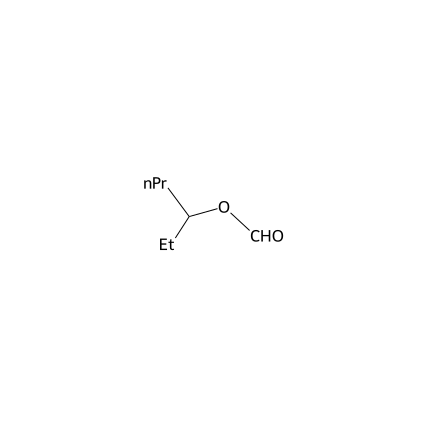 CCCC(CC)OC=O